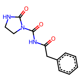 O=C(Cc1ccccc1)NC(=O)N1CCNC1=O